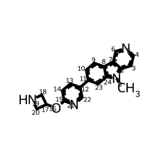 Cn1c2ccncc2c2ccc(-c3ccc(OC4CNC4)nc3)cc21